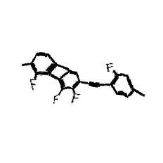 Cc1ccc(C#Cc2cc3c(c(F)c2F)-c2c-3ccc(C)c2F)c(F)c1